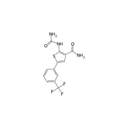 NC(=O)Nc1sc(-c2cccc(C(F)(F)F)c2)cc1C(N)=O